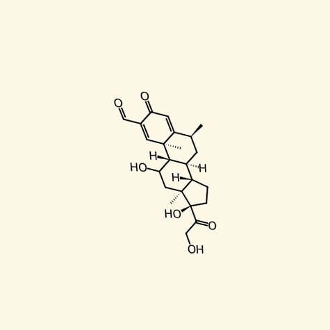 C[C@H]1C[C@@H]2[C@H](C(O)C[C@@]3(C)[C@H]2CC[C@]3(O)C(=O)CO)[C@@]2(C)C=C(C=O)C(=O)C=C12